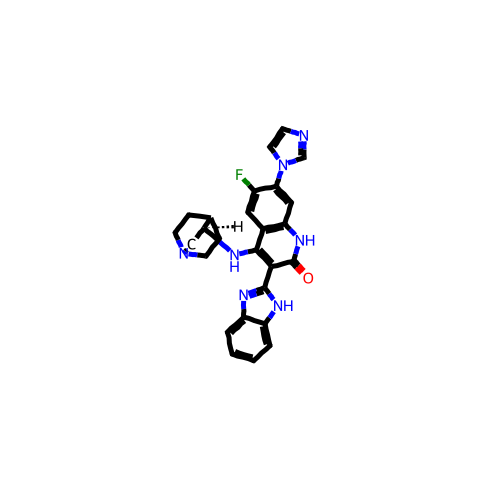 O=c1[nH]c2cc(-n3ccnc3)c(F)cc2c(N[C@H]2CN3CCC2CC3)c1-c1nc2ccccc2[nH]1